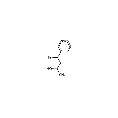 CC(O)CC(c1ccccc1)C(C)C